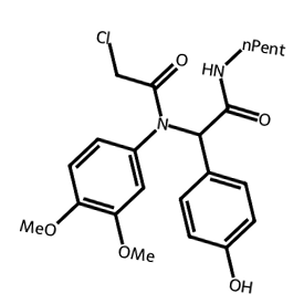 CCCCCNC(=O)C(c1ccc(O)cc1)N(C(=O)CCl)c1ccc(OC)c(OC)c1